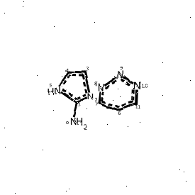 Nc1ncc[nH]1.c1cnnnc1